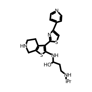 CC(C)NCCC(O)Nc1sc2c(c1-c1nc(-c3ccncc3)cs1)CCNC2